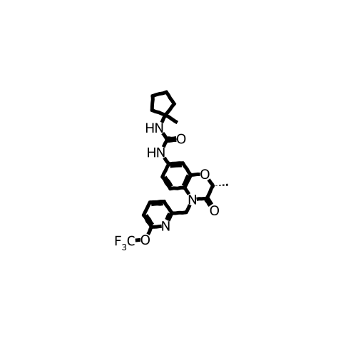 C[C@H]1Oc2cc(NC(=O)NC3(C)CCCC3)ccc2N(Cc2cccc(OC(F)(F)F)n2)C1=O